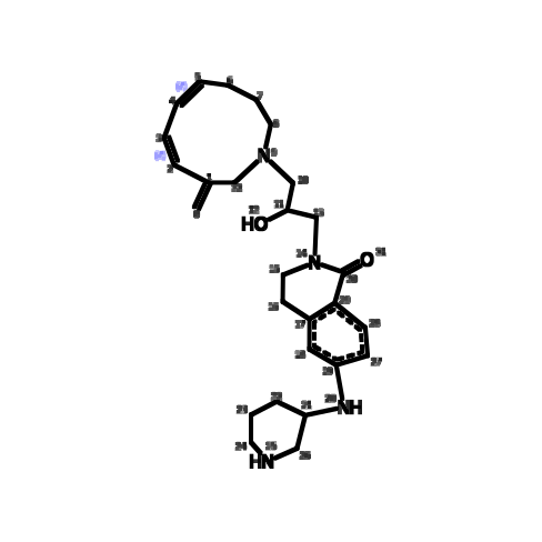 C=C1/C=C\C=C/CCCN(CC(O)CN2CCc3cc(NC4CCCNC4)ccc3C2=O)C1